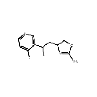 CC(CC1COC(N)=N1)c1ccccc1F